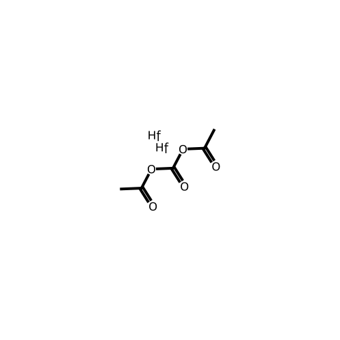 CC(=O)OC(=O)OC(C)=O.[Hf].[Hf]